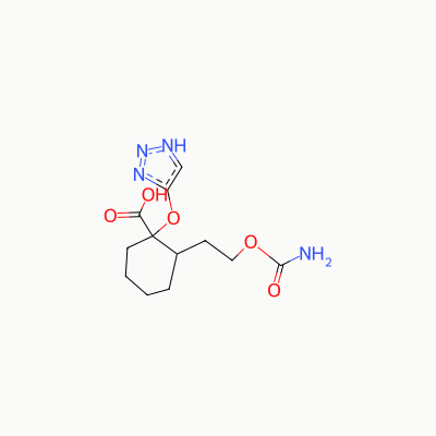 NC(=O)OCCC1CCCCC1(Oc1c[nH]nn1)C(=O)O